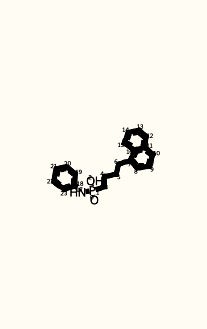 O=P(O)(CCCCc1cccc2ccccc12)Nc1ccccc1